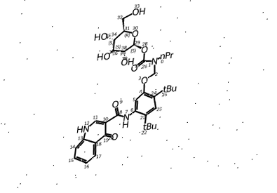 CCCN(COc1cc(NC(=O)c2c[nH]c3ccccc3c2=O)c(C(C)(C)C)cc1C(C)(C)C)C(=O)O[C@@H]1O[C@H](CO)[C@@H](O)[C@H](O)[C@H]1O